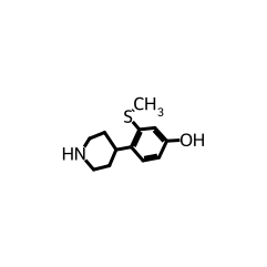 CSc1cc(O)ccc1C1CCNCC1